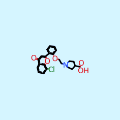 O=C(O)C1CCN(CCOc2ccccc2-c2cc(=O)c3cccc(Cl)c3o2)CC1